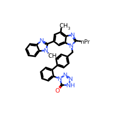 CCCc1nc2c(C)cc(-c3nc4ccccc4n3C)cc2n1Cc1ccc(-c2ccccc2-n2nn[nH]c2=O)cc1